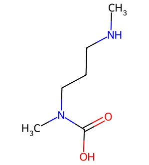 CNCCCN(C)C(=O)O